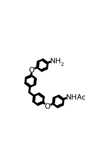 CC(=O)Nc1ccc(Oc2ccc(Cc3ccc(Oc4ccc(N)cc4)cc3)cc2)cc1